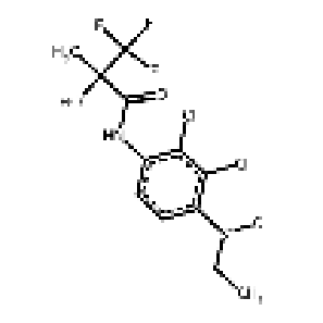 CC[S+]([O-])c1ccc(NC(=O)C(C)(O)C(F)(F)F)c(Cl)c1Cl